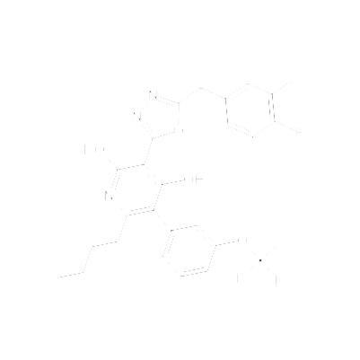 CCCCc1nc(O)c(-c2nnc(Cc3ccc(F)c(F)c3)o2)c(O)c1-c1cccc(OC(F)(F)F)c1